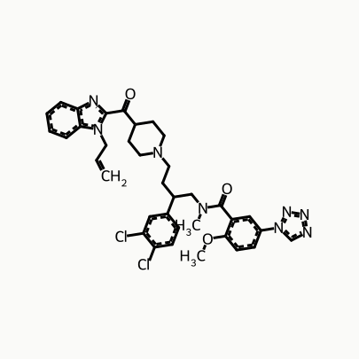 C=CCn1c(C(=O)C2CCN(CCC(CN(C)C(=O)c3cc(-n4cnnn4)ccc3OC)c3ccc(Cl)c(Cl)c3)CC2)nc2ccccc21